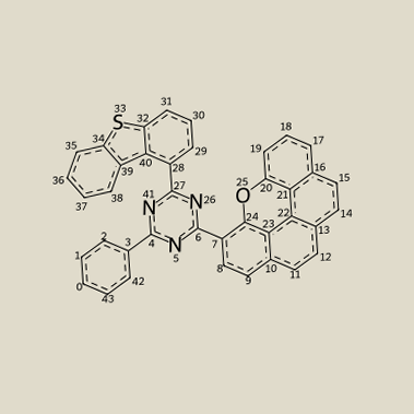 c1ccc(-c2nc(-c3ccc4ccc5ccc6cccc7c6c5c4c3O7)nc(-c3cccc4sc5ccccc5c34)n2)cc1